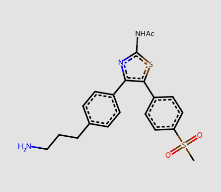 CC(=O)Nc1nc(-c2ccc(CCCN)cc2)c(-c2ccc(S(C)(=O)=O)cc2)s1